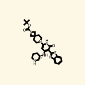 CC(C)(C)OC(=O)N1CC2(CCN(c3cc(N[C@@H]4CCCNC4)c(-c4nc5ccccc5s4)c(=O)[nH]3)CC2)C1